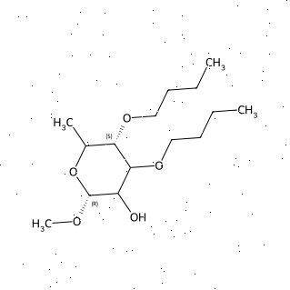 CCCCOC1C(O)[C@H](OC)OC(C)[C@@H]1OCCCC